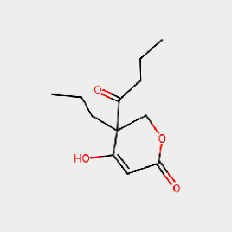 CCCC(=O)C1(CCC)COC(=O)C=C1O